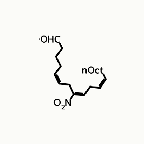 CCCCCCCC/C=C\C/C=C(\C/C=C\CCC[C]=O)[N+](=O)[O-]